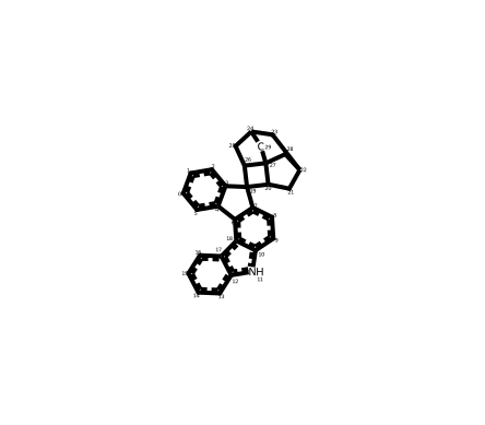 c1ccc2c(c1)-c1c(ccc3[nH]c4ccccc4c13)C21C2CC3CC4CC1C2(C3)C4